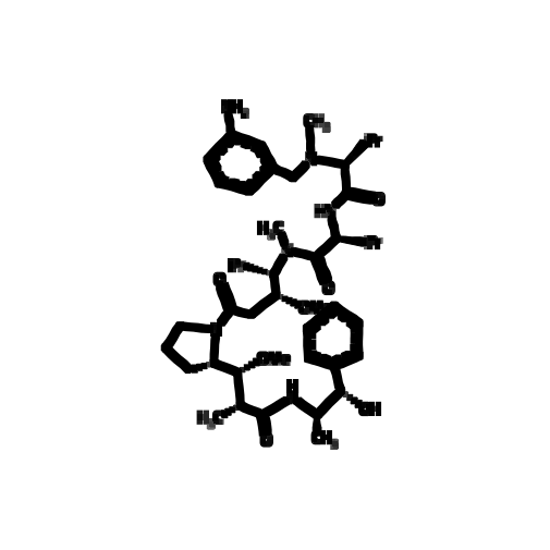 CO[C@H]([C@@H](C)C(=O)N[C@H](C)[C@@H](O)c1ccccc1)[C@@H]1CCCN1C(=O)C[C@@H](OC)[C@H](C(C)C)N(C)C(=O)[C@@H](NC(=O)[C@H](C(C)C)N(C)Cc1cccc(N)c1)C(C)C